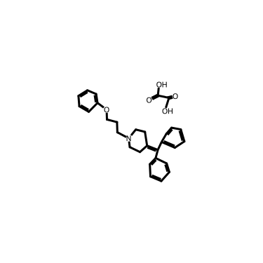 O=C(O)C(=O)O.c1ccc(OCCCN2CCC(=C(c3ccccc3)c3ccccc3)CC2)cc1